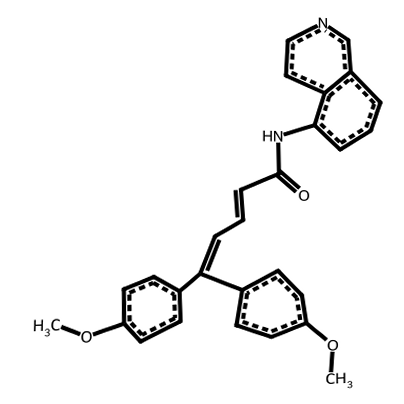 COc1ccc(C(=CC=CC(=O)Nc2cccc3cnccc23)c2ccc(OC)cc2)cc1